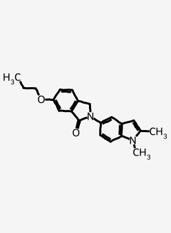 CCCOc1ccc2c(c1)C(=O)N(c1ccc3c(c1)cc(C)n3C)C2